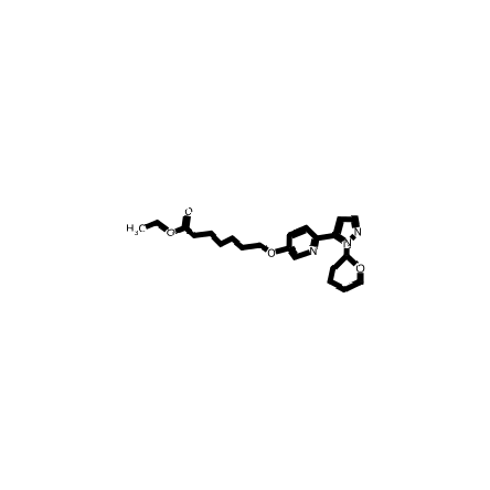 CCOC(=O)CCCCCCOc1ccc(-c2ccnn2C2CCCCO2)nc1